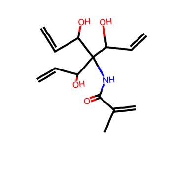 C=CC(O)C(NC(=O)C(=C)C)(C(O)C=C)C(O)C=C